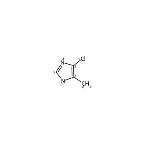 CC1=C(Cl)N=[C][N]1